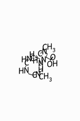 CN(C)CC(N)C(=O)O.CN1CCCNCCNCCCNCC1